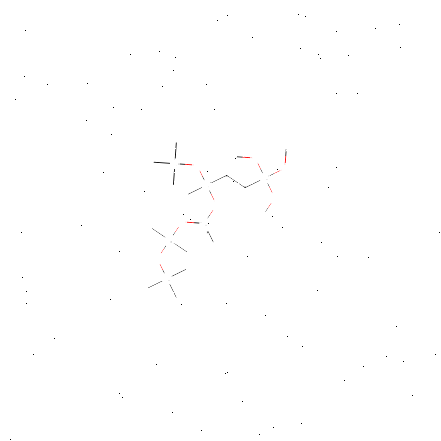 CCO[Si](CC[Si](C)(O[SiH](C)O[Si](C)(C)O[Si](C)(C)C)O[Si](C)(C)C)(OCC)OCC